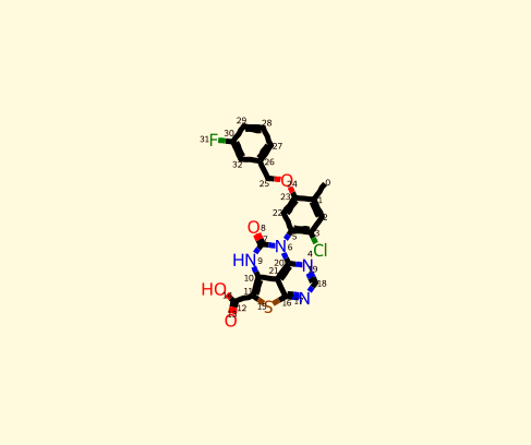 Cc1cc(Cl)c(N2C(=O)Nc3c(C(=O)O)sc4ncnc2c34)cc1OCc1cccc(F)c1